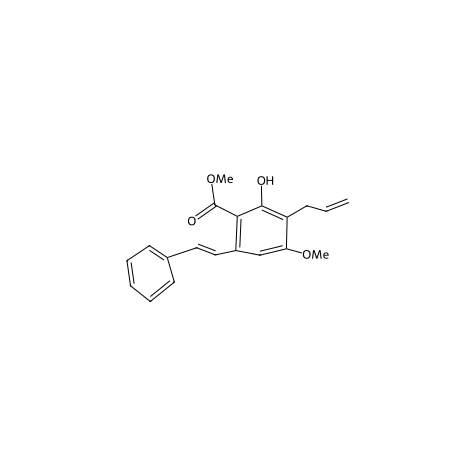 C=CCc1c(OC)cc(C=Cc2ccccc2)c(C(=O)OC)c1O